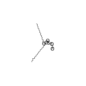 CCCCCCCCCCCCCCCCCCCC(COC(=O)SCC(C)(C)OCCC(C)(C)OC)OCCCCCCCCCCCCCCCCCC